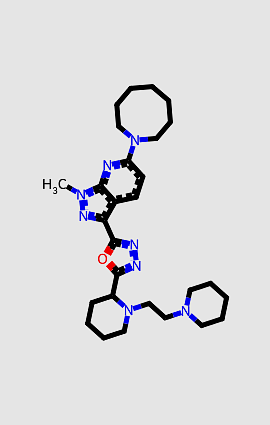 Cn1nc(-c2nnc(C3CCCCN3CCN3CCCCC3)o2)c2ccc(N3CCCCCCC3)nc21